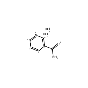 Cl.Cl.NC(=O)c1ccnnc1